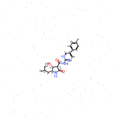 Cc1ccc(-c2cnc(NC(=O)C3C(=O)NC(CC(C)C)C3O)nc2)cc1